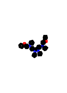 c1ccc(N(c2ccc3c(c2)oc2ccccc23)c2ccc3c(c2)c2c4ccc(N(c5ccccc5)c5ccc6c(c5)oc5ccccc56)cc4n(-c4ccccc4)c2n3-c2ccccc2)cc1